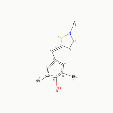 CCN1CC/C(=C\c2cc(C(C)(C)C)c(O)c(C(C)(C)C)c2)S1